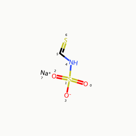 O=S(=O)([O-])NC=S.[Na+]